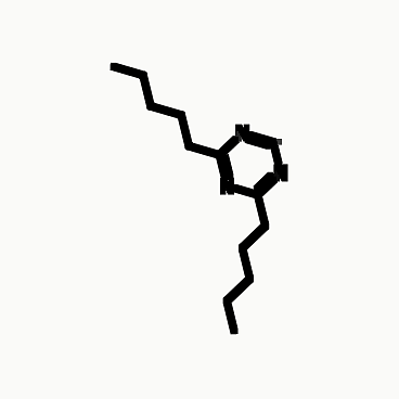 CCCCCc1n[c]nc(CCCCC)n1